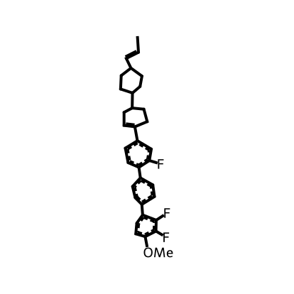 C/C=C/C1CCC(C2CC=C(c3ccc(-c4ccc(-c5ccc(OC)c(F)c5F)cc4)c(F)c3)CC2)CC1